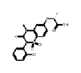 C[C@@H](Oc1ccc2c(c1)N(C)C(=O)N(c1ccccc1Cl)S2(=O)=O)C(=O)O